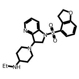 CCNC1CCN(C2CN(S(=O)(=O)c3cccc4c3CCO4)c3cccnc32)CC1